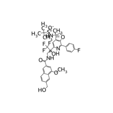 COc1cc(C(=O)NC[C@@](O)(c2cc3c(c(-c4ccc(F)cc4)n2)OC[C@@]3(C)N[S+]([O-])C(C)(C)C)C(F)(F)F)cc2ccc(CO)cc12